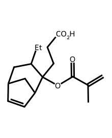 C=C(C)C(=O)OC1(CCC(=O)O)C2C=CC(C2)CC1CC